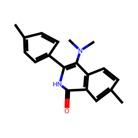 Cc1ccc(-c2[nH]c(=O)c3cc(C)ccc3c2N(C)C)cc1